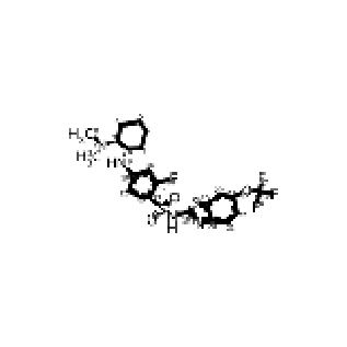 CN(C)[C@H]1CCCC[C@@H]1Nc1ccc(S(=O)(=O)Nc2nc3ccc(OC(F)(F)F)cc3s2)c(F)c1